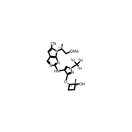 [2H]C([2H])([2H])n1cc(Nc2ncc3cc(C#N)n([C@@H](C)COC)c3n2)c(O[C@H]2CC[C@@]2(C)O)n1